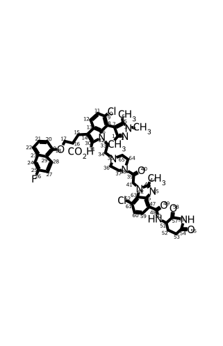 Cc1nn(C)c(C)c1-c1c(Cl)ccc2c(CCCOc3cccc4cc(F)ccc34)c(C(=O)O)n(CCN3CCN(C(=O)Cn4c(C)nc5c(C(=O)NC6CCC(=O)NC6=O)ccc(Cl)c54)CC3)c12